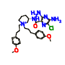 COc1ccc(CCC[N+]2(CCCc3ccc(OC)cc3)CCC[C@H](NC(=O)c3nc(Cl)c(N)nc3N)C2)cc1